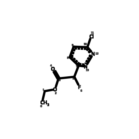 CCOC(=O)C(F)c1ccc(Cl)nn1